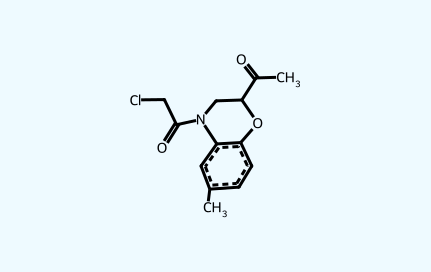 CC(=O)C1CN(C(=O)CCl)c2cc(C)ccc2O1